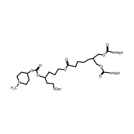 CCCCCCCCCCCCC(CCCOC(=O)CCCCC(COC(=O)CCCCCCC)COC(=O)CCCCCCC)OC(=O)OC1CCN(C)CC1